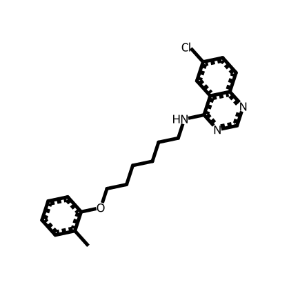 Cc1ccccc1OCCCCCCNc1ncnc2ccc(Cl)cc12